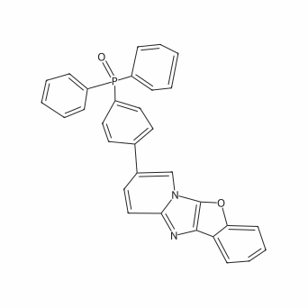 O=P(c1ccccc1)(c1ccccc1)c1ccc(-c2ccc3nc4c5ccccc5oc4n3c2)cc1